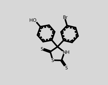 Oc1ccc(C2(c3cccc(Br)c3)NC(=S)SC2=S)cc1